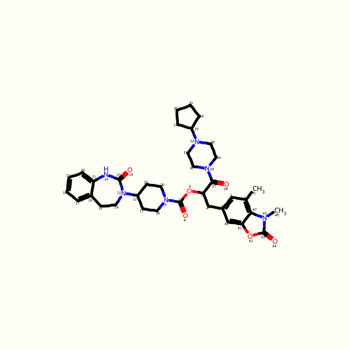 Cc1cc(CC(OC(=O)N2CCC(N3CCc4ccccc4NC3=O)CC2)C(=O)N2CCN(C3CCCC3)CC2)cc2oc(=O)n(C)c12